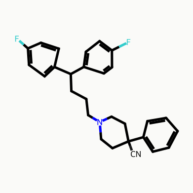 N#CC1(c2ccccc2)CCN(CCCC(c2ccc(F)cc2)c2ccc(F)cc2)CC1